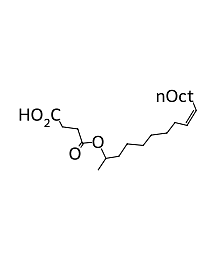 CCCCCCCC/C=C\CCCCCCC(C)OC(=O)CCC(=O)O